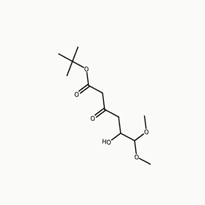 COC(OC)C(O)CC(=O)CC(=O)OC(C)(C)C